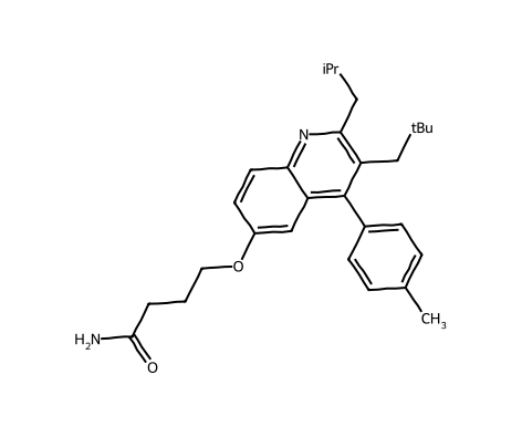 Cc1ccc(-c2c(CC(C)(C)C)c(CC(C)C)nc3ccc(OCCCC(N)=O)cc23)cc1